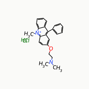 CN(C)CCOc1ccc2c(c1)c(-c1ccccc1)c1ccccc1[n+]2C.Cl.[Cl-]